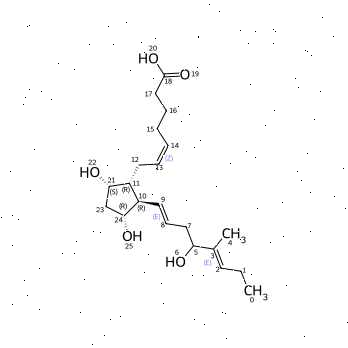 CC/C=C(\C)C(O)C/C=C/[C@@H]1[C@@H](C/C=C\CCCC(=O)O)[C@@H](O)C[C@H]1O